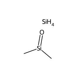 C[Si](C)=O.[SiH4]